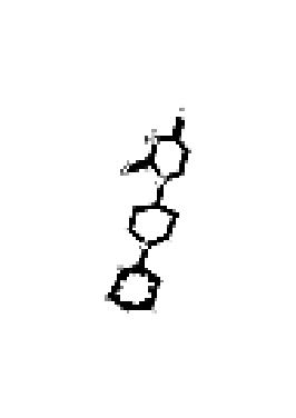 O=C1CCN(C2CCN(c3ccccc3)CC2)C(=O)N1